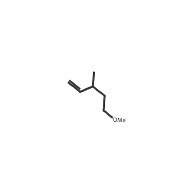 [CH2]OCCC(C)C=C